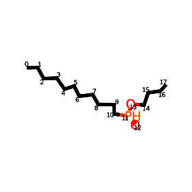 CCCCCCCCCCC[PH](=O)OCCCC